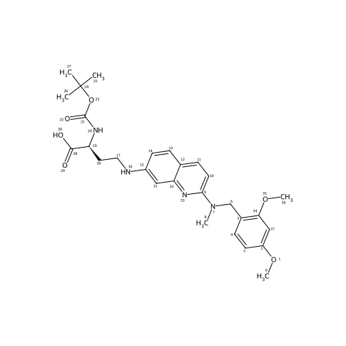 COc1ccc(CN(C)c2ccc3ccc(NCC[C@H](NC(=O)OC(C)(C)C)C(=O)O)cc3n2)c(OC)c1